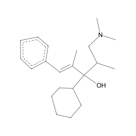 CC(=Cc1ccccc1)C(O)(C(C)CN(C)C)C1CCCCC1